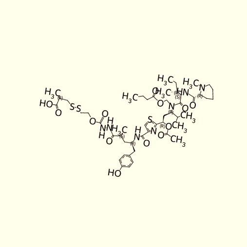 CCCC(=O)OCN(C(=O)[C@@H](NC(=O)[C@H]1CCCCN1C)[C@H](C)CC)[C@H](C[C@@H](OC(C)=O)c1nc(C(=O)N[C@@H](Cc2ccc(O)cc2)C[C@H](C)C(=O)NNC(=O)OCCSSC[C@H](C)C(=O)O)cs1)C(C)C